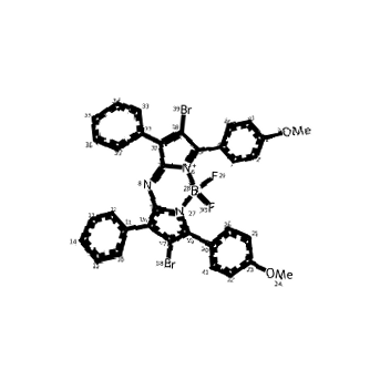 COc1ccc(C2=[N+]3C(=Nc4c(-c5ccccc5)c(Br)c(-c5ccc(OC)cc5)n4[B-]3(F)F)C(c3ccccc3)=C2Br)cc1